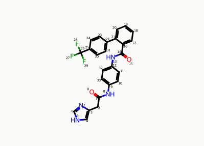 O=C(Cc1c[nH]cn1)Nc1ccc(NC(=O)c2ccccc2-c2ccc(C(F)(F)F)cc2)cc1